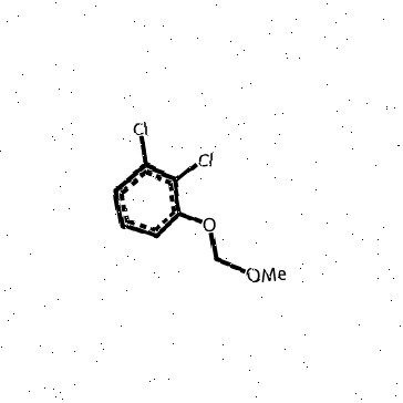 COCOc1cccc(Cl)c1Cl